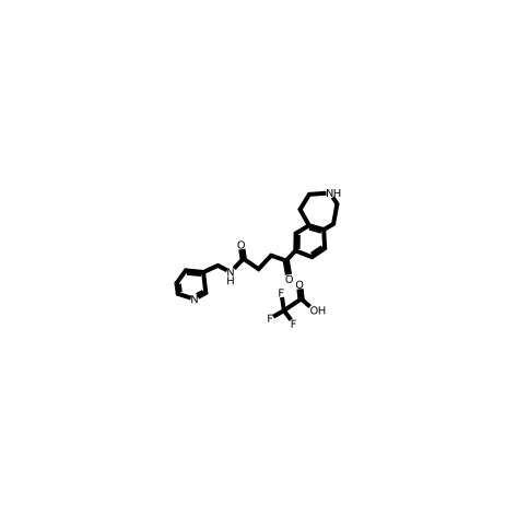 O=C(CCC(=O)c1ccc2c(c1)CCNCC2)NCc1cccnc1.O=C(O)C(F)(F)F